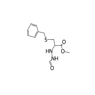 COC(=O)C(CSCc1ccccc1)NNC=O